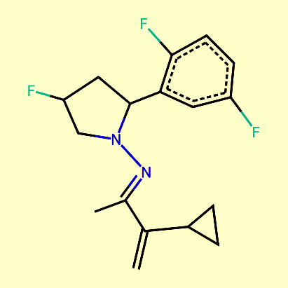 C=C(/C(C)=N/N1CC(F)CC1c1cc(F)ccc1F)C1CC1